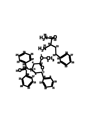 COC(=O)CN(CCc1ccccc1)P(=O)(c1ccccc1)c1ccccc1.NC(=O)C(N)CCc1ccccc1